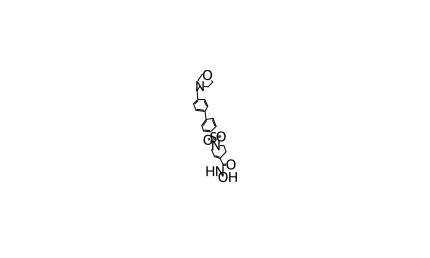 O=C(NO)C1=CCN(S(=O)(=O)c2ccc(-c3ccc(CN4CCOCC4)cc3)cc2)CC1